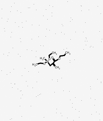 C=C(C[Si](C)(OCC)OCC)C(=O)OCCC